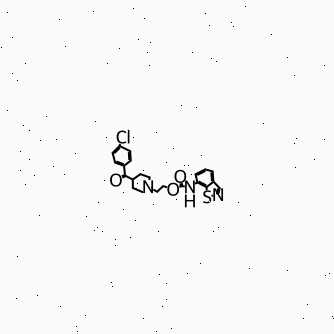 O=C(Nc1cccc2cnsc12)OCCN1CCC(C(=O)c2ccc(Cl)cc2)CC1